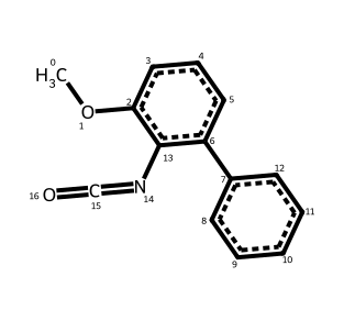 COc1cccc(-c2ccccc2)c1N=C=O